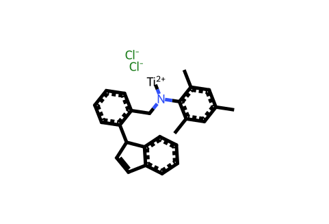 Cc1cc(C)c([N]([Ti+2])Cc2ccccc2C2C=Cc3ccccc32)c(C)c1.[Cl-].[Cl-]